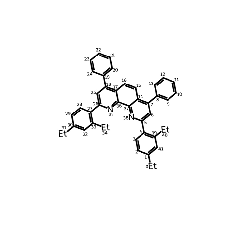 CCc1ccc(-c2cc(-c3ccccc3)c3ccc4c(-c5ccccc5)cc(-c5ccc(CC)cc5CC)nc4c3n2)c(CC)c1